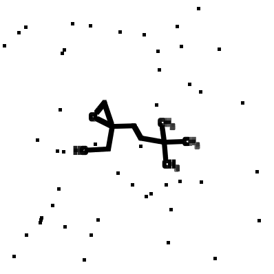 CC(C)(C)CCC1(CO)CO1